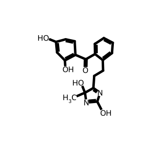 CC1(O)N=C(O)N=C1CCc1ccccc1C(=O)c1ccc(O)cc1O